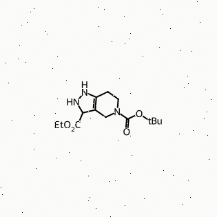 CCOC(=O)C1NNC2=C1CN(C(=O)OC(C)(C)C)CC2